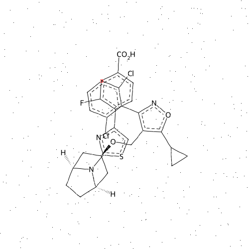 O=C(O)c1ccc(-c2csc(N3[C@@H]4CC[C@H]3C[C@@H](OCc3c(-c5c(Cl)cccc5Cl)noc3C3CC3)C4)n2)c(F)c1